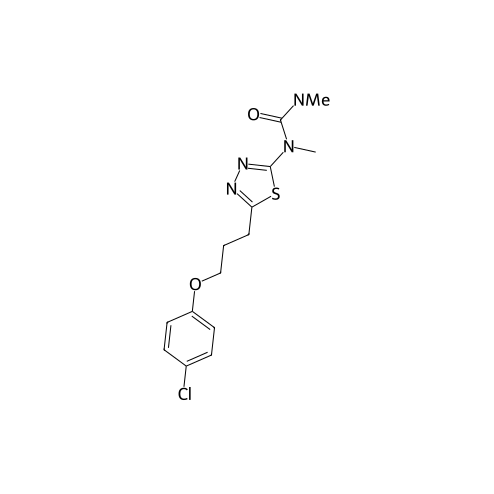 CNC(=O)N(C)c1nnc(CCCOc2ccc(Cl)cc2)s1